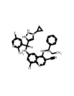 [2H]C(Nc1cc(Cl)c2ncc(C#N)c(N[C@H](CC)c3ccccc3)c2c1)(C1=CN(C2CC2)NN1)c1cc(F)cnc1C